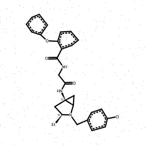 CC[C@H]1C[C@]2(NC(=O)CNC(=O)c3ccccc3Oc3ccccc3)CC2N1Cc1ccc(Cl)cc1